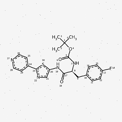 CC(C)(C)OC(=O)N[C@@H](Cc1ccc(F)cc1)C(=O)Nc1cnc(-c2ccncc2)s1